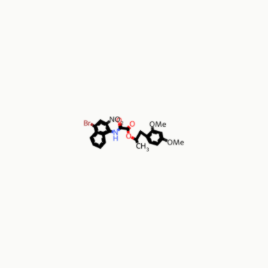 COc1ccc(CC(C)OC(=O)C(=O)Nc2c([N+](=O)[O-])cc(Br)c3ccccc23)c(OC)c1